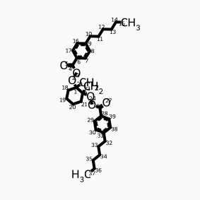 [CH2]C1(OOC(=O)c2ccc(CCCCCC)cc2)CCCCC1([CH2])OOC(=O)c1ccc(CCCCCC)cc1